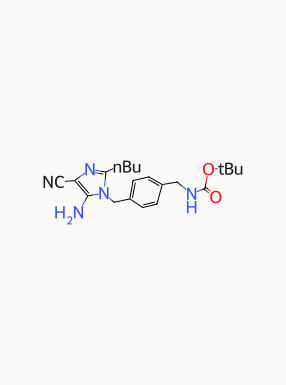 CCCCc1nc(C#N)c(N)n1Cc1ccc(CNC(=O)OC(C)(C)C)cc1